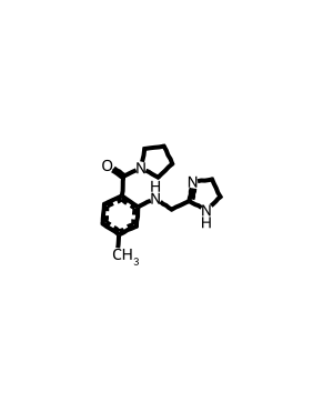 Cc1ccc(C(=O)N2CCCC2)c(NCC2=NCCN2)c1